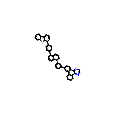 C1=CC(c2ccc(-c3cccc4c(-c5cccc(-c6ccc7c(c6)c6ccccc6c6nccnc76)c5)cccc34)cc2)C2Sc3ccccc3C2=C1